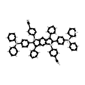 N#Cc1ccc(-n2c(-c3ccc(N(c4ccccc4)c4ccccc4)cc3)c(-c3ccccc3)c3cc4c(cc32)c(-c2ccccc2)c(-c2ccc(N(c3ccccc3)c3ccccc3)cc2)n4-c2ccc(C#N)cc2)cc1